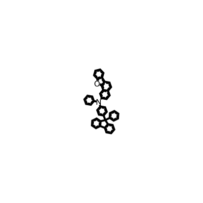 c1ccc(N(c2ccc(C3(c4ccccc4)c4ccccc4-c4ccccc43)cc2)c2ccc3ccc4c5ccccc5oc4c3c2)cc1